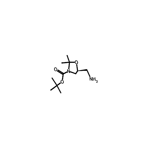 CC(C)(C)OC(=O)N1C[C@H](CN)OC1(C)C